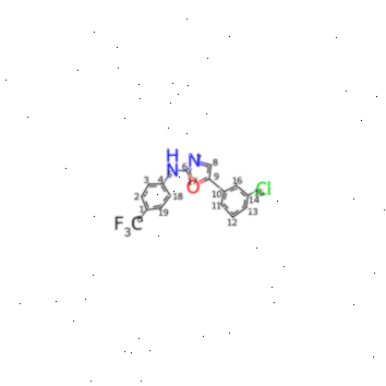 FC(F)(F)c1ccc(Nc2ncc(-c3cccc(Cl)c3)o2)cc1